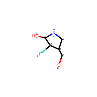 OCC1CNC(O)C1F